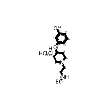 CCNCCN1CCC(Oc2cccc(Cl)c2)CC1.Cl.Cl